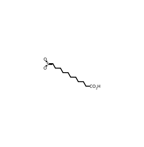 O=C(O)CCCCCCCCCC=S(=O)=O